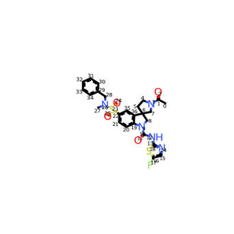 CC(=O)N1CCC2(C1)CN(C(=O)Nc1ncc(F)s1)c1ccc(S(=O)(=O)N(C)Cc3ccccc3)cc12